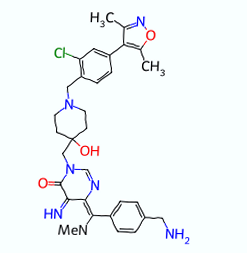 CN/C(=C1/N=CN(CC2(O)CCN(Cc3ccc(-c4c(C)noc4C)cc3Cl)CC2)C(=O)C1=N)c1ccc(CN)cc1